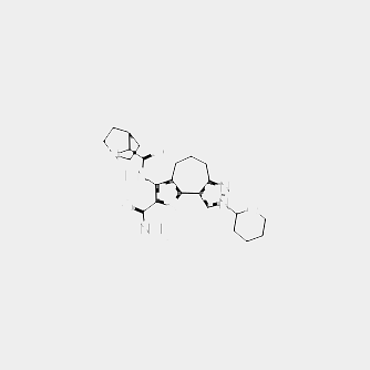 NC(=O)c1sc2c(c1NC(=O)C1C3CCN1CC3)CCCc1nn(C3CCCCO3)cc1-2